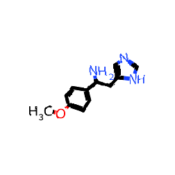 COc1ccc(C(N)Cc2cnc[nH]2)cc1